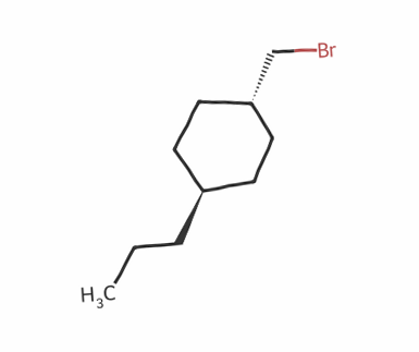 CCC[C@H]1CC[C@H](CBr)CC1